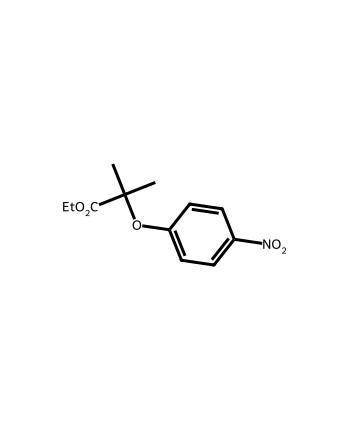 CCOC(=O)C(C)(C)Oc1ccc([N+](=O)[O-])cc1